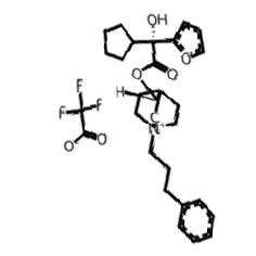 O=C(O[C@H]1C[N+]2(CCCc3ccccc3)CCC1CC2)[C@](O)(c1ccco1)C1CCCC1.O=C([O-])C(F)(F)F